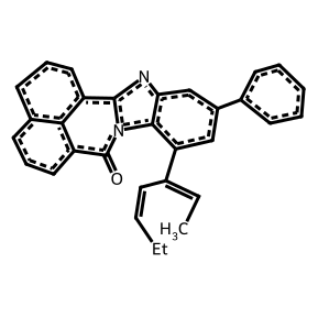 C/C=C(\C=C/CC)c1cc(-c2ccccc2)cc2nc3c4cccc5cccc(c(=O)n3c12)c54